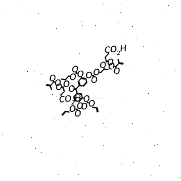 C=CCOC(=O)Oc1ccc(C(=O)c2ccc(OC(=O)OCC(COC(=O)C(=C)C)OC(=O)CCC(=O)O)c(OC(=O)OCC(COC(=O)C(=C)C)OC(=O)CCC(=O)O)c2)cc1OC(=O)OCC=C